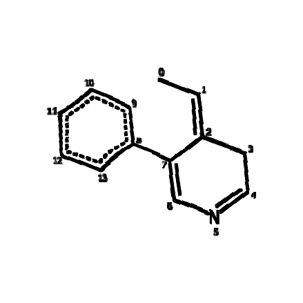 C/C=C1/CC=NC=C1c1ccccc1